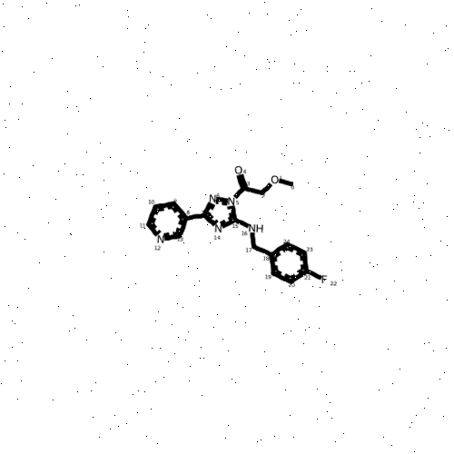 COCC(=O)n1nc(-c2cccnc2)nc1NCc1ccc(F)cc1